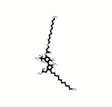 CCCCCCCCCCCCSCCC(=O)Oc1cc(C)c(-c2cc(CC(C)C)c(CCCCCCCCCCCC)cc2C)cc1C(C)(C)C